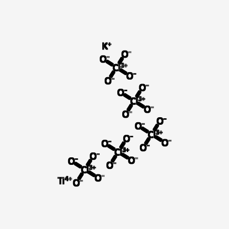 [K+].[O-][Cl+3]([O-])([O-])[O-].[O-][Cl+3]([O-])([O-])[O-].[O-][Cl+3]([O-])([O-])[O-].[O-][Cl+3]([O-])([O-])[O-].[O-][Cl+3]([O-])([O-])[O-].[Ti+4]